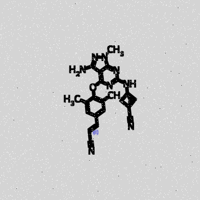 Cc1cc(/C=C/C#N)cc(C)c1Oc1nc(NC23CC(C#N)(C2)C3)nc2c1c(N)nn2C